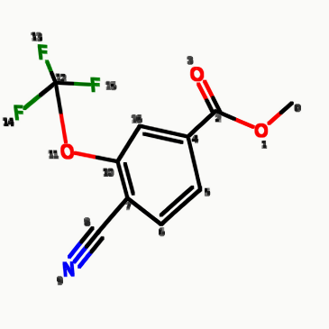 COC(=O)c1ccc(C#N)c(OC(F)(F)F)c1